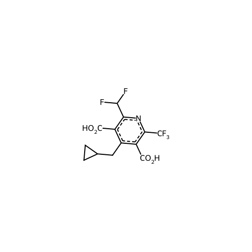 O=C(O)c1c(C(F)F)nc(C(F)(F)F)c(C(=O)O)c1CC1CC1